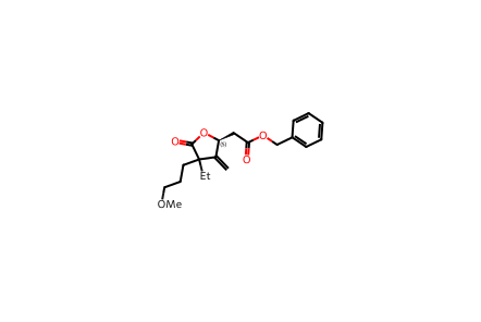 C=C1[C@H](CC(=O)OCc2ccccc2)OC(=O)C1(CC)CCCOC